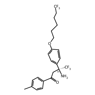 Cc1ccc(C(=O)C[C@](N)(c2ccc(OCCCCCC(F)(F)F)cc2)C(F)(F)F)cc1